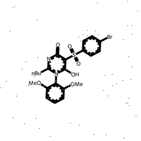 CCCCc1nc(=O)c(S(=O)(=O)c2ccc(Br)cc2)c(O)n1-c1c(OC)cccc1OC